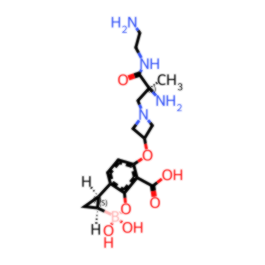 C[C@](N)(CN1CC(Oc2ccc3c(c2C(=O)O)O[B-](O)(O)[C@H]2C[C@@H]32)C1)C(=O)NCCN